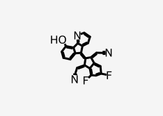 N#C/C=C1C(=C2/c3cccnc3-c3c(O)cccc32)/C(=C/C#N)c2cc(F)cc(F)c2/1